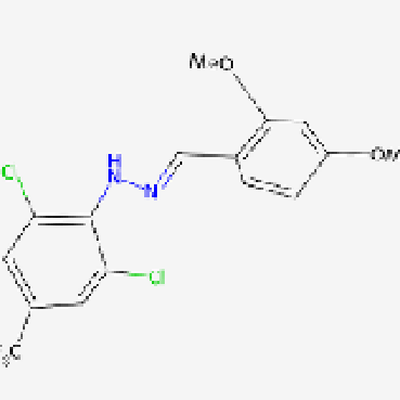 COc1ccc(/C=N/Nc2c(Cl)cc(C(F)(F)F)cc2Cl)c(OC)c1